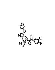 C[C@H]1Cn2ncc(OC3CCOC3)c2CN1C(=O)Nc1ccc(F)c(Cl)c1